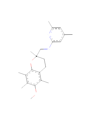 COc1c(C)c(C)c2c(c1C)CCC(C)(CNc1cc(C)cc(C)n1)O2